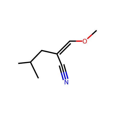 COC=C(C#N)CC(C)C